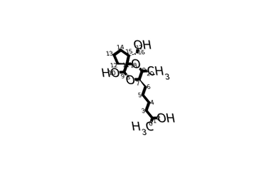 CC(O)CCCC[C@H]1OC(O)[C@@]2(CCC[C@@H]2CO)OC1C